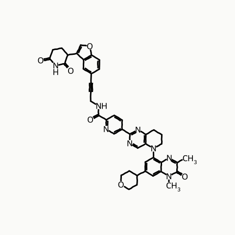 Cc1nc2c(N3CCCc4nc(-c5ccc(C(=O)NCC#Cc6ccc7occ(C8CCC(=O)NC8=O)c7c6)nc5)ncc43)cc(C3CCOCC3)cc2n(C)c1=O